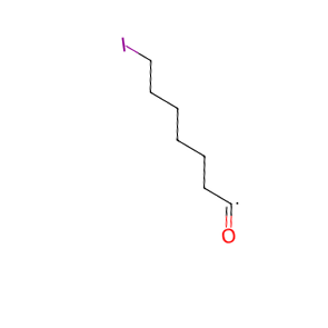 O=[C]CCCCCCI